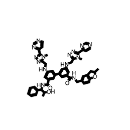 CC1Cc2cc(CNC(=O)c3cc(NCc4nnc(-c5ccncn5)n4C)cc(-c4cc(NCc5nnc(-c6ccncn6)n5C)cc(C(=O)NC(c5ccccc5)C(C)O)c4)c3)ccc2O1